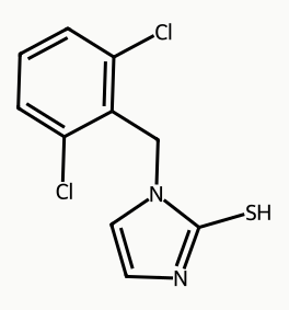 Sc1nccn1Cc1c(Cl)cccc1Cl